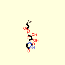 CC(=O)CCC(=O)OC[C@H]1O[C@@H](n2ccc(=O)[nH]c2=O)[C@H](O)[C@@H]1O